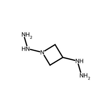 NNC1CN(NN)C1